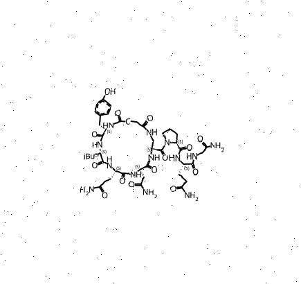 CC[C@H](C)[C@@H]1NC(=O)[C@H](Cc2ccc(O)cc2)NC(=O)CCC(=O)NC[C@@H](C(=O)N2CCC[C@H]2C(=O)N[C@@H](CCC(N)=O)C(=O)NCC(N)=O)NC(=O)[C@H](CC(N)=O)NC(=O)[C@H](CCC(N)=O)NC1=O